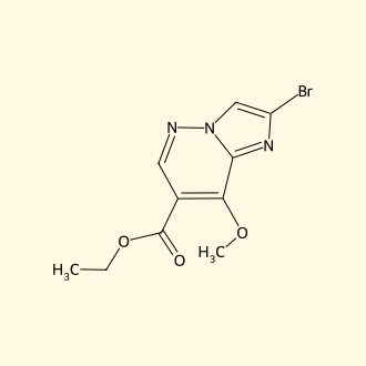 CCOC(=O)c1cnn2cc(Br)nc2c1OC